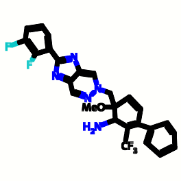 COC1(Cn2cc3nc(-c4cccc(F)c4F)nc-3cn2)C=CC(c2ccccc2)=C(C(F)(F)F)C1N